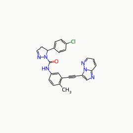 Cc1ccc(NC(=O)N2N=CCC2c2ccc(Cl)cc2)cc1C#Cc1cnc2cccnn12